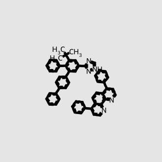 CC(C)(C)c1cc(-c2nc[nH]n2)cc(-c2ccc(-c3ccccc3)cc2)c1-c1ccccc1.c1ccc(-c2ccnc3c2ccc2c(-c4ccccc4)ccnc23)cc1